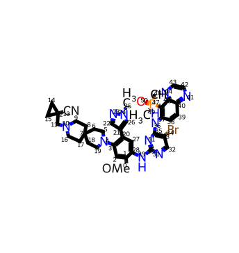 COc1cc(N2CCC3(CCN(CC4(C#N)CC4)CC3)CC2)c(-c2cnn(C)c2)cc1Nc1ncc(Br)c(Nc2ccc3nccnc3c2P(C)(C)=O)n1